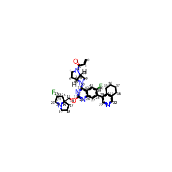 C=CC(=O)N1CC[C@@H]2[C@H]1CN2c1nc(OC[C@@]23CCCN2C[C@H](F)C3)nc2cc(-c3cncc4c3CCCC4)c(F)cc12